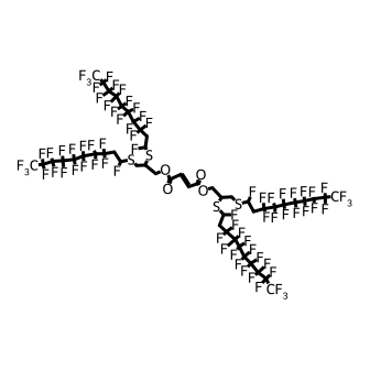 O=C(/C=C/C(=O)OCC(CSC(F)CC(F)(F)C(F)(F)C(F)(F)C(F)(F)C(F)(F)C(F)(F)C(F)(F)C(F)(F)F)SC(F)CC(F)(F)C(F)(F)C(F)(F)C(F)(F)C(F)(F)C(F)(F)C(F)(F)C(F)(F)F)OCC(CSC(F)CC(F)(F)C(F)(F)C(F)(F)C(F)(F)C(F)(F)C(F)(F)C(F)(F)C(F)(F)F)SC(F)CC(F)(F)C(F)(F)C(F)(F)C(F)(F)C(F)(F)C(F)(F)C(F)(F)C(F)(F)F